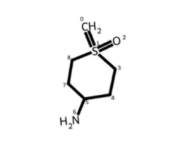 C=S1(=O)CCC(N)CC1